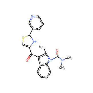 Cc1c(C(=O)C2=CSC(c3cccnc3)N2)c2ccccc2n1C(=O)N(C)C